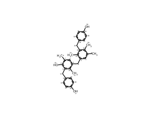 Cc1cc(Cc2cc(C)c(O)c(Cc3ccc(O)cc3)c2C)c(C)c(Cc2ccc(O)cc2)c1C